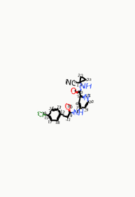 N#CC1(NC(=O)c2cc(NC(=O)Cc3ccc(Cl)cc3)ccn2)CC1